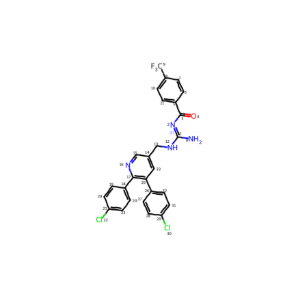 N/C(=N\C(=O)c1ccc(C(F)(F)F)cc1)NCc1cnc(-c2ccc(Cl)cc2)c(-c2ccc(Cl)cc2)c1